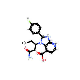 CCC(CC(N)=O)N1c2c(C(=O)O)ccnc2NC1c1ccc(F)cc1